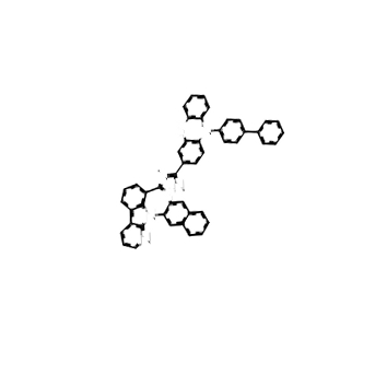 c1ccc(-c2ccc(N3c4ccccc4Sc4cc(-c5nsc(-c6cccc7c8cccnc8n(-c8ccc9ccccc9c8)c67)n5)ccc43)cc2)cc1